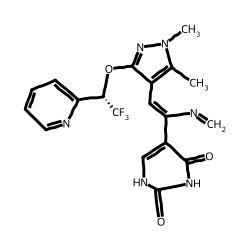 C=N/C(=C\c1c(O[C@@H](c2ccccn2)C(F)(F)F)nn(C)c1C)c1c[nH]c(=O)[nH]c1=O